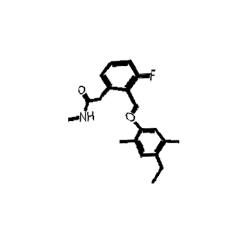 CCc1cc(C)c(OCc2c(F)cccc2CC(=O)NC)cc1C